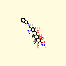 CN(C)c1c(CNC2Cc3ccccc3C2)cc(O)c2c1C[C@H]1C[C@H]3[C@H](N(C)C)C(O)=C(C(N)=O)C(=O)[C@@]3(O)C(O)=C1C2=O